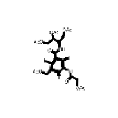 CC(=O)OCC(=O)Nc1c(I)c(COC(C)=O)c(I)c(C(=O)NC(COC(C)=O)C(COC(C)=O)OC(C)=O)c1I